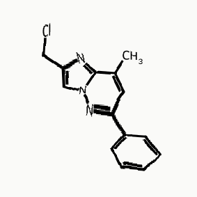 Cc1cc(-c2ccccc2)nn2cc(CCl)nc12